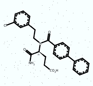 NC(=O)[C@H](CCC(=O)O)N(CCc1cccc(Cl)c1)C(=O)c1ccc(-c2ccccc2)cc1